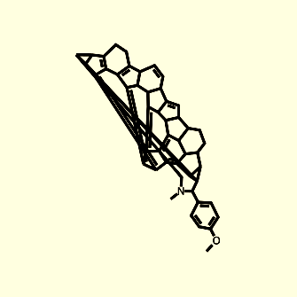 COc1ccc(C2N(C)CC34C5C6=c7c8c9c%10c%11c7=C(CC6)C6C=CC7C%12=CC%13C%14CCC%15C%16C(=C9C9=C(C%13C%12C(=C9%10)C7C%116)C%14%16)C6(C%15C236)C854)cc1